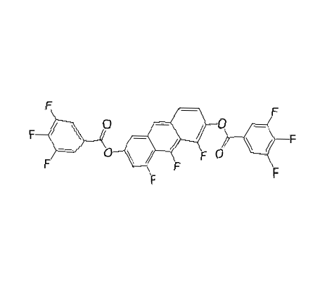 O=C(Oc1cc(F)c2c(F)c3c(F)c(OC(=O)c4cc(F)c(F)c(F)c4)ccc3cc2c1)c1cc(F)c(F)c(F)c1